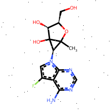 CC12O[C@H](CO)[C@H](O)C1(O)[C@@H]2n1cc(F)c2c(N)ncnc21